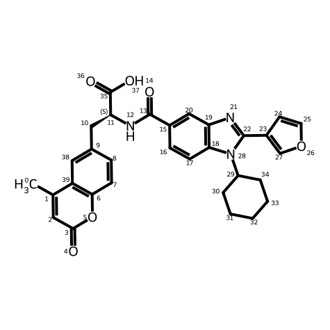 Cc1cc(=O)oc2ccc(C[C@H](NC(=O)c3ccc4c(c3)nc(-c3ccoc3)n4C3CCCCC3)C(=O)O)cc12